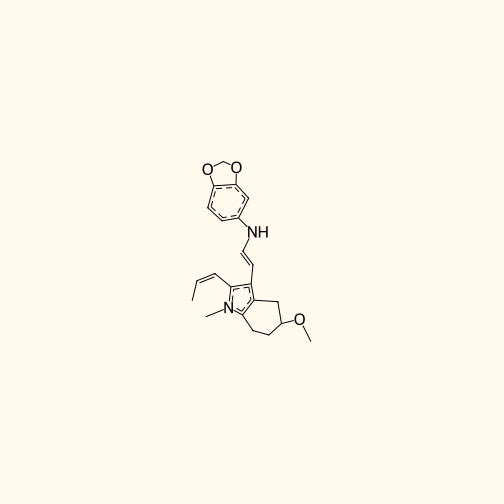 C/C=C\c1c(/C=C/Nc2ccc3c(c2)OCO3)c2c(n1C)CCC(OC)C2